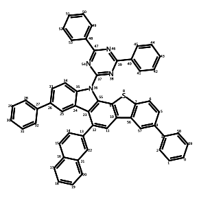 c1ccc(-c2ccc3sc4c(cc(-c5ccc6ccccc6c5)c5c6cc(-c7ccccc7)ccc6n(-c6nc(-c7ccccc7)nc(-c7ccccc7)n6)c45)c3c2)cc1